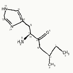 CCC(C)CC(=O)[C@@H](N)Cc1c[nH]cn1